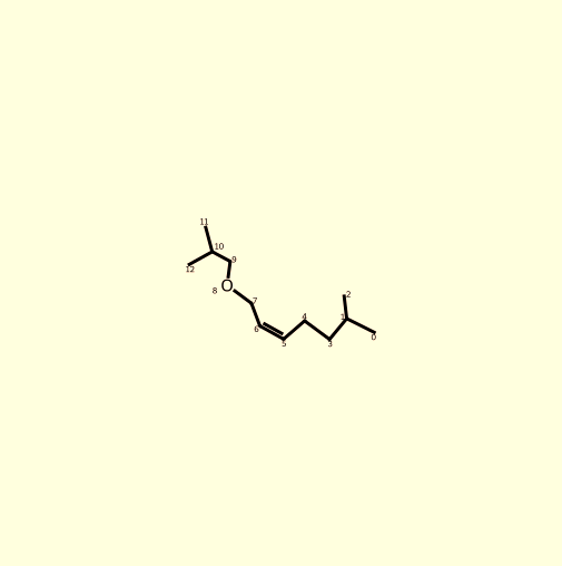 CC(C)CC/C=C\COCC(C)C